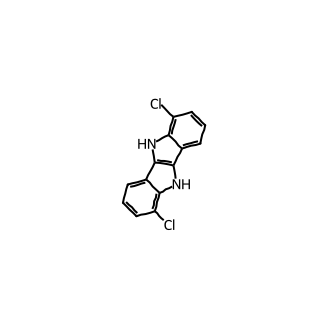 Clc1cccc2c1[nH]c1c3cccc(Cl)c3[nH]c21